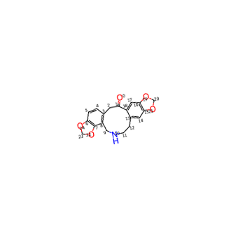 O=C1Cc2ccc3c(c2CNCCc2cc4c(cc21)OCO4)OCO3